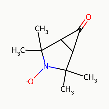 CC1(C)C2C(=O)C2C(C)(C)N1[O]